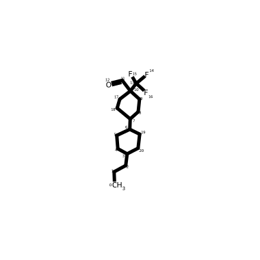 CCCC1CCC(C2CCC(C=O)(C(F)(F)F)CC2)CC1